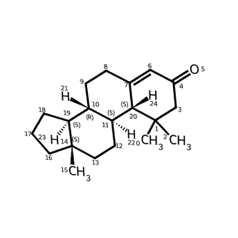 CC1(C)CC(=O)C=C2CC[C@@H]3[C@H](CC[C@]4(C)CCC[C@@H]34)[C@H]21